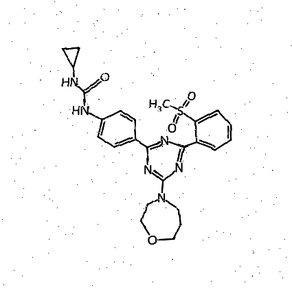 CS(=O)(=O)c1ccccc1-c1nc(-c2ccc(NC(=O)NC3CC3)cc2)nc(N2CCCOCC2)n1